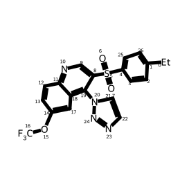 CCc1ccc(S(=O)(=O)c2cnc3ccc(OC(F)(F)F)cc3c2-n2ccnn2)cc1